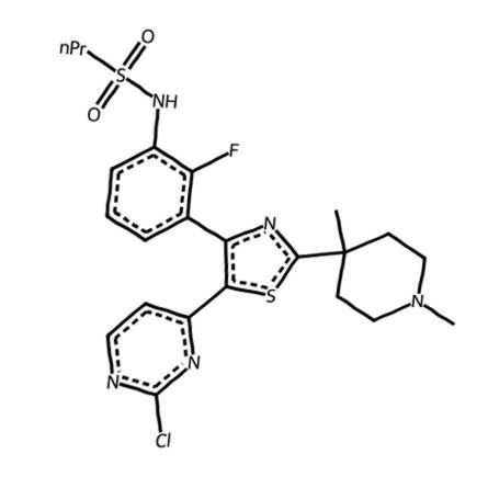 CCCS(=O)(=O)Nc1cccc(-c2nc(C3(C)CCN(C)CC3)sc2-c2ccnc(Cl)n2)c1F